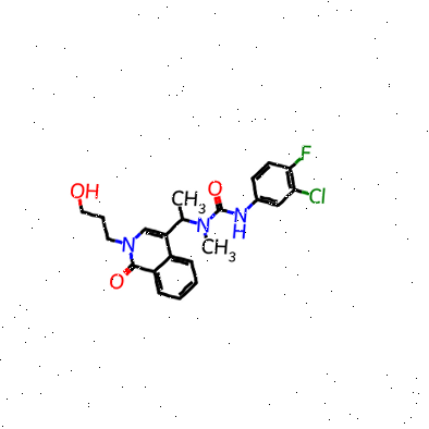 CC(c1cn(CCCO)c(=O)c2ccccc12)N(C)C(=O)Nc1ccc(F)c(Cl)c1